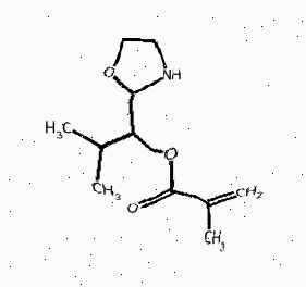 C=C(C)C(=O)OC(C(C)C)C1NCCO1